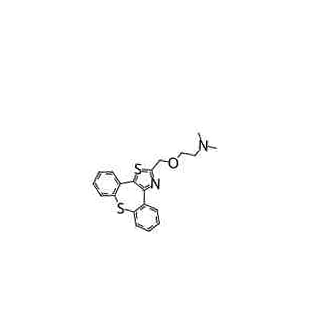 CN(C)CCOCc1nc2c(s1)-c1ccccc1Sc1ccccc1-2